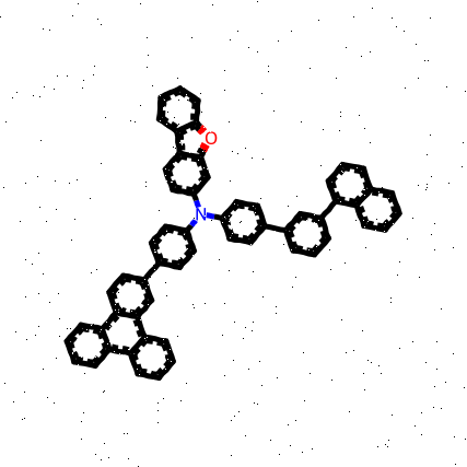 c1cc(-c2ccc(N(c3ccc(-c4ccc5c6ccccc6c6ccccc6c5c4)cc3)c3ccc4c(c3)oc3ccccc34)cc2)cc(-c2cccc3ccccc23)c1